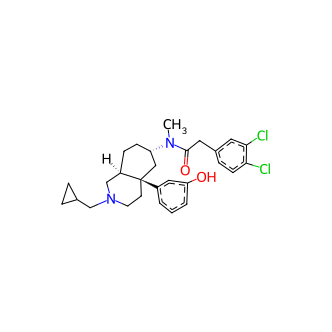 CN(C(=O)Cc1ccc(Cl)c(Cl)c1)[C@H]1CC[C@@H]2CN(CC3CC3)CC[C@@]2(c2cccc(O)c2)C1